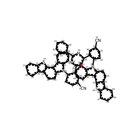 N#Cc1ccc(-n2c3ccccc3c3c4sc5ccccc5c4ccc32)c(-c2cc(-c3cc(C#N)ccc3-n3c4ccccc4c4c5sc6ccccc6c5ccc43)nc(-c3ccccc3)n2)c1